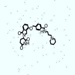 O=C1CCC(N2Cc3c(OCc4ccc(C(=O)NCCCN5CCCCC5)cc4)cccc3C2=O)C(=O)N1